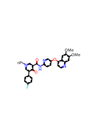 CCCn1cc(C(=O)Nc2ccc(Oc3ccnc4cc(OC)c(OC)cc34)cn2)c(=O)c(-c2ccc(F)cc2)c1